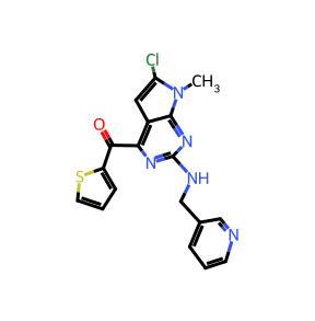 Cn1c(Cl)cc2c(C(=O)c3cccs3)nc(NCc3cccnc3)nc21